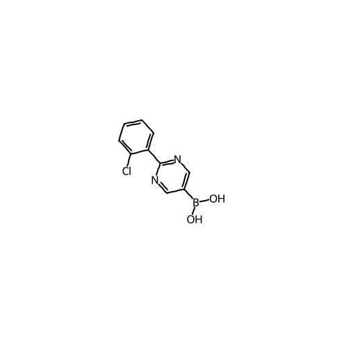 OB(O)c1cnc(-c2ccccc2Cl)nc1